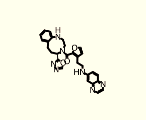 O=C(c1occc1CCNc1ccc2nccnc2c1)N1CCNc2ccccc2CC[C@@H]1c1nnco1